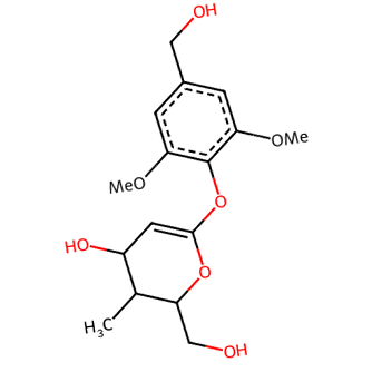 COc1cc(CO)cc(OC)c1OC1=CC(O)C(C)C(CO)O1